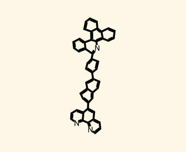 c1cnc2c(c1)cc(-c1ccc3cc(-c4ccc(-c5nc6c7ccccc7c7ccccc7c6c6ccccc56)cc4)ccc3c1)c1cccnc12